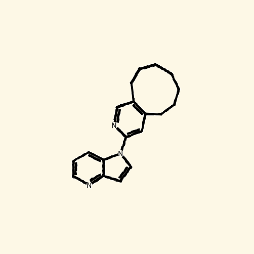 c1cnc2ccn(-c3cc4c(cn3)CCCCCCC4)c2c1